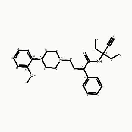 C#CC(CC)(CC)NC(=O)C(CCN1CCN(c2ccccc2OC)CC1)c1ccccc1